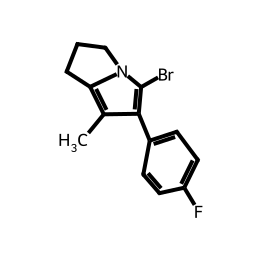 Cc1c(-c2ccc(F)cc2)c(Br)n2c1CCC2